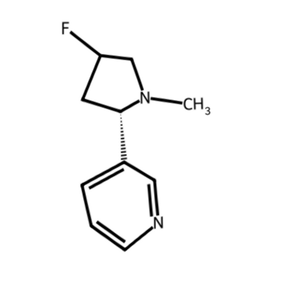 CN1CC(F)C[C@H]1c1cccnc1